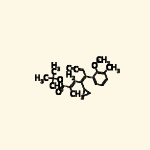 C=C=C/C(=C(\C=C(/C)C(=O)OC(C)(C)C)C1CC1)c1cccc(C)c1OC